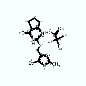 CCc1nc(C)sc1CSc1nc2c(c(=O)[nH]1)CCC2.O=C(O)C(F)(F)F